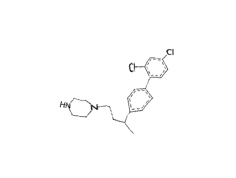 CC(CCN1CCNCC1)c1ccc(-c2ccc(Cl)cc2Cl)cc1